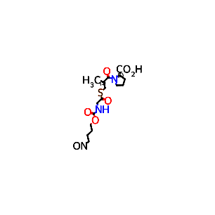 C[C@H](CSC(=O)CNC(=O)OCCCCN=O)C(=O)N1CCC[C@H]1C(=O)O